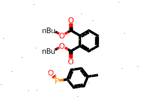 CCCCOC(=O)c1ccccc1C(=O)OCCCC.Cc1ccc(P=O)cc1